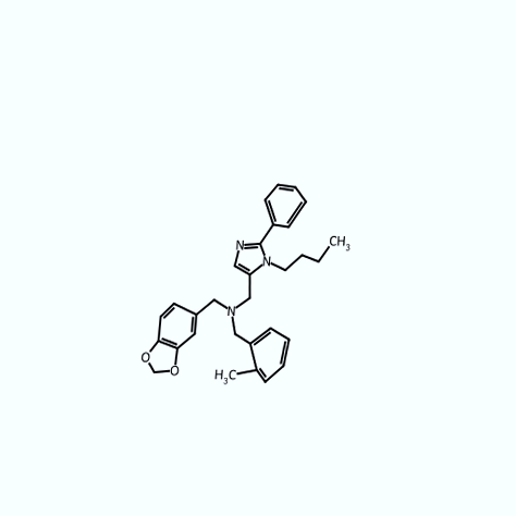 CCCCn1c(CN(Cc2ccc3c(c2)OCO3)Cc2ccccc2C)cnc1-c1ccccc1